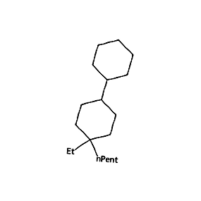 CCCCCC1(CC)CCC(C2CCCCC2)CC1